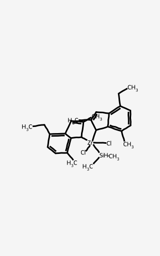 CCc1ccc(C)c2c1C=C(C)[CH]2[Zr]([Cl])([Cl])([CH]1C(C)=Cc2c(CC)ccc(C)c21)[SiH](C)C